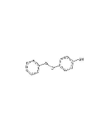 Sc1ccc(OSc2ccccc2)cc1